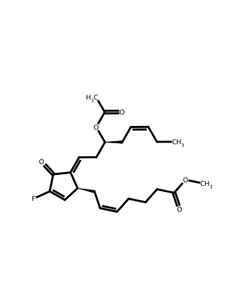 CC/C=C\C[C@@H](C/C=C1/C(=O)C(F)=C[C@@H]1C/C=C\CCCC(=O)OC)OC(C)=O